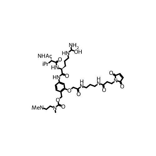 CNCCN(C)C(=O)OCc1ccc(NC(=O)[C@H](CCCNC(N)O)NC(=O)[C@@H](NC(C)=O)C(C)C)cc1OCC(=O)NCCCNC(=O)CCN1C(=O)C=CC1=O